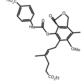 CCOC(=O)CCC(C)=CCc1c(OC)c(C)c2c(c1OC(=O)Nc1ccc(C(=O)O)cc1)C(=O)OC2